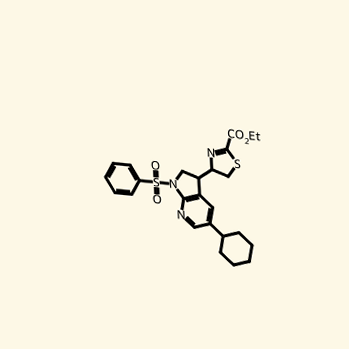 CCOC(=O)C1=NC(C2CN(S(=O)(=O)c3ccccc3)c3ncc(C4CCCCC4)cc32)CS1